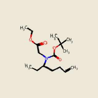 C=CCCC(CC)N(CC(=O)OCC)C(=O)OC(C)(C)C